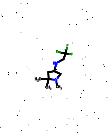 CN1CC(NCC(F)(F)F)CC1(C)C